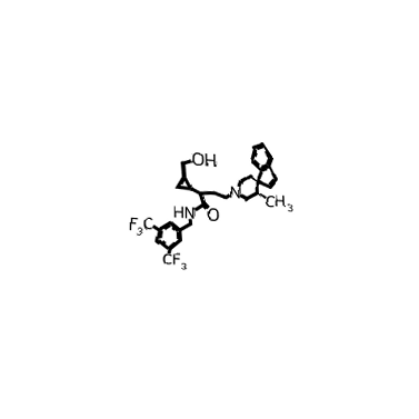 C[C@H]1CN(CCC(C(=O)NCc2cc(C(F)(F)F)cc(C(F)(F)F)c2)C2CC2CO)CC[C@@]12C=Cc1ccccc12